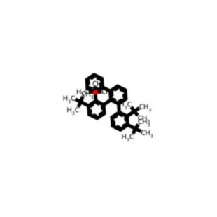 CC(C)(C)c1cccc(-c2cc[c]c(-c3ccccc3)c2-c2cccc(C(C)(C)C)c2C(C)(C)C)c1C(C)(C)C